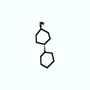 CC(C)[C@H]1CC[C@H](C2CCCCC2)CC1